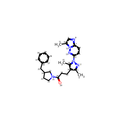 Cc1nn(-c2ccc3ncc(C)n3n2)c(C)c1CCC(=O)N1CCC(Cc2ccccc2)C1